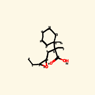 CCC1OC1CC(C)(C(=O)O)C1(C)CCCCC1